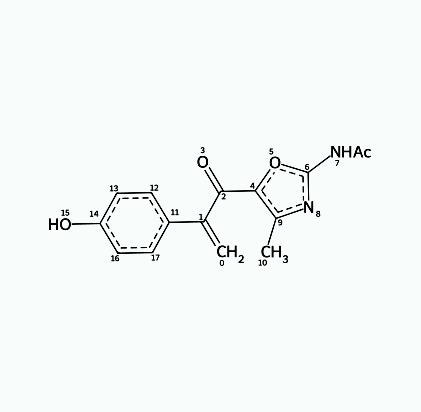 C=C(C(=O)c1oc(NC(C)=O)nc1C)c1ccc(O)cc1